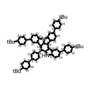 CC(C)(C)c1ccc(-c2ccc(-c3c4[nH]c5ccc(-c6ccc(C(C)(C)C)cc6)cc5c4c4c5ccc(-c6ccc(C(C)(C)C)cc6)cc5n5c6ccc(-c7ccc(C(C)(C)C)cc7)cc6c3c45)cc2)cc1